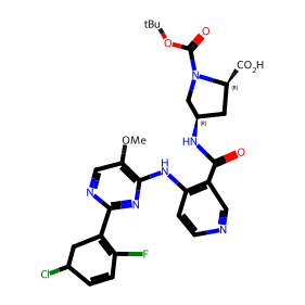 COc1cnc(C2=C(F)C=CC(Cl)C2)nc1Nc1ccncc1C(=O)N[C@@H]1C[C@H](C(=O)O)N(C(=O)OC(C)(C)C)C1